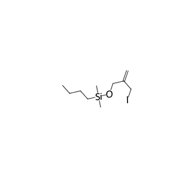 C=C(CI)CO[Si](C)(C)CCCC